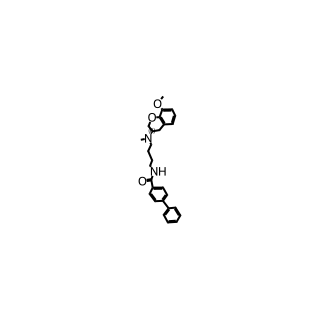 COc1cccc2c1OC[C@H](N(C)CCCCNC(=O)c1ccc(-c3ccccc3)cc1)C2